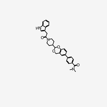 CN(C)C(=O)c1ccc(-c2ccc3c(c2)COC(C2CCN(C(=O)Cc4c[nH]c5ccccc45)CC2)O3)cc1